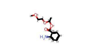 COCCOC(C)OC(=O)c1ccccc1N